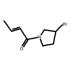 CC=CC(=O)N1CCC(C(C)C)C1